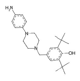 CC(C)(C)c1cc(CN2CCN(c3ccc(N)cc3)CC2)cc(C(C)(C)C)c1O